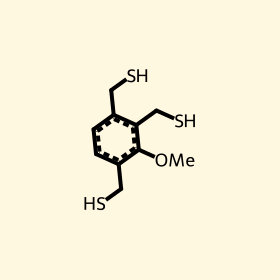 COc1c(CS)ccc(CS)c1CS